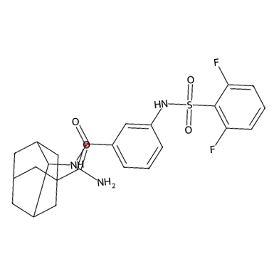 NC(=O)C12CC3CC(C1)C(NC(=O)c1cccc(NS(=O)(=O)c4c(F)cccc4F)c1)C(C3)C2